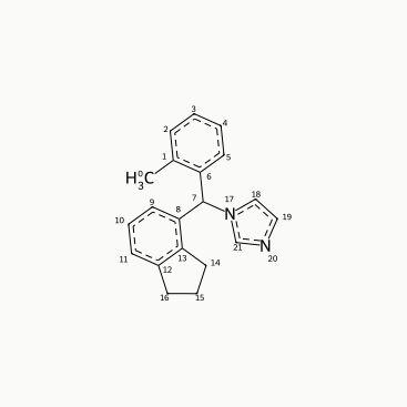 Cc1ccccc1C(c1cccc2c1CCC2)n1ccnc1